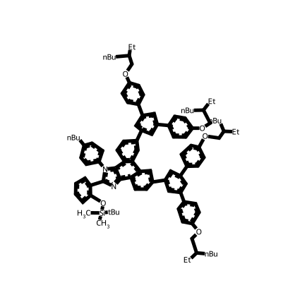 CCCCc1ccc(-n2c(-c3ccccc3O[Si](C)(C)C(C)(C)C)nc3c4ccc(-c5cc(-c6ccc(OCC(CC)CCCC)cc6)cc(-c6ccc(OCC(CC)CCCC)cc6)c5)cc4c4cc(-c5cc(-c6ccc(OCC(CC)CCCC)cc6)cc(-c6ccc(OCC(CC)CCCC)cc6)c5)ccc4c32)cc1